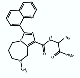 CNC(=O)C(NC(=O)c1nc(-c2cccc3cccnc23)n2c1CN(C)CCC2)C(C)(C)C